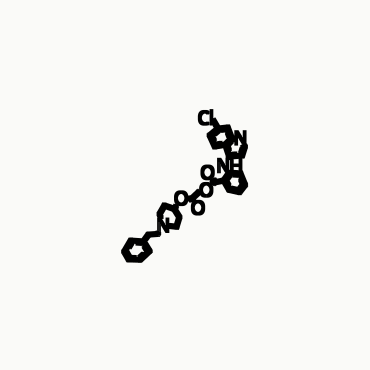 O=C(COC(=O)c1ccccc1Nc1ccnc2cc(Cl)ccc12)OC1CCN(CCc2ccccc2)CC1